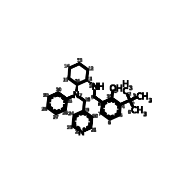 CC(C)(C)c1cccc(CN[C@H]2CCCC[C@@H]2N(Cc2ccncc2)c2ccccc2)c1O